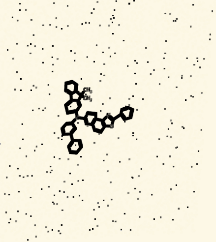 CC1(C)c2ccccc2-c2ccc(N(c3cccc(-c4ccccc4)c3)c3ccc4c(ccc5oc(-c6ccccc6)nc54)c3)cc21